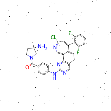 CC1(N)CCN(C(=O)c2ccc(Nc3ncc4c(n3)C3=CN=C(Cl)C=C(c5c(F)cccc5F)C3=CC4)cc2)C1